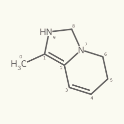 CC1=C2C=CCCN2CN1